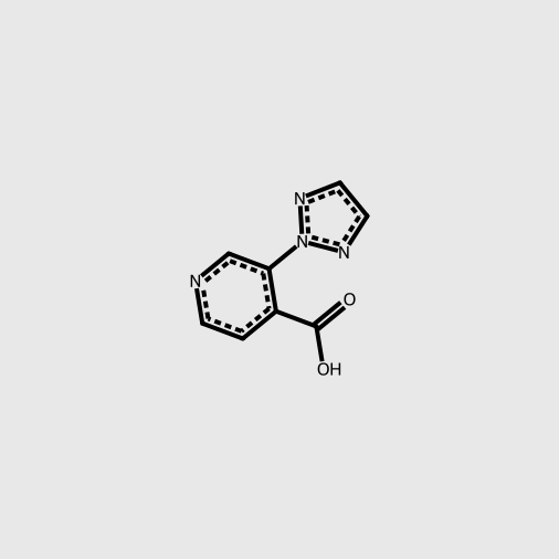 O=C(O)c1ccncc1-n1nccn1